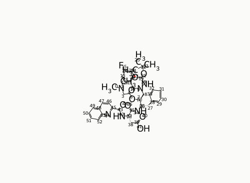 CN(C)CC(=O)O[C@@H](CN(Cc1ccc(F)cc1)NC(=O)OC(C)(C)C)[C@H](Cc1ccccc1)NC(=O)[C@H](CC(=O)O)NC(=O)c1ccc2ccccc2n1